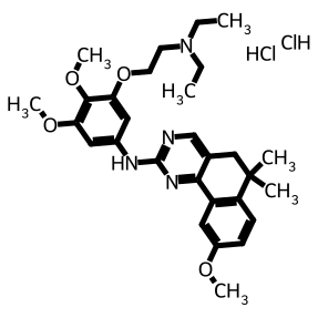 CCN(CC)CCOc1cc(Nc2ncc3c(n2)-c2cc(OC)ccc2C(C)(C)C3)cc(OC)c1OC.Cl.Cl